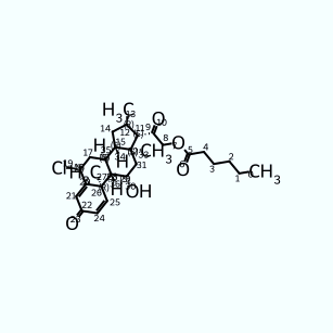 CCCCCC(=O)OCC(=O)[C@H]1[C@H](C)C[C@H]2[C@@H]3C[C@H](Cl)C4=CC(=O)C=C[C@]4(C)[C@H]3[C@@H](O)C[C@@]21C